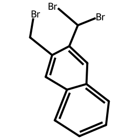 BrCc1cc2ccccc2cc1C(Br)Br